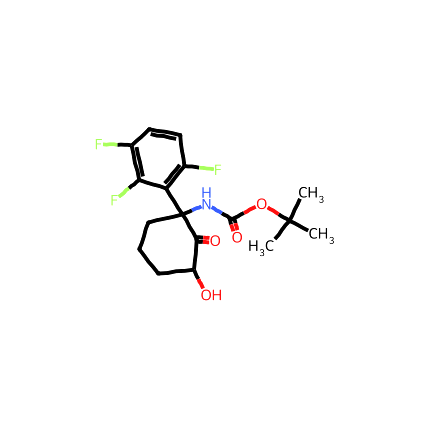 CC(C)(C)OC(=O)NC1(c2c(F)ccc(F)c2F)CCCC(O)C1=O